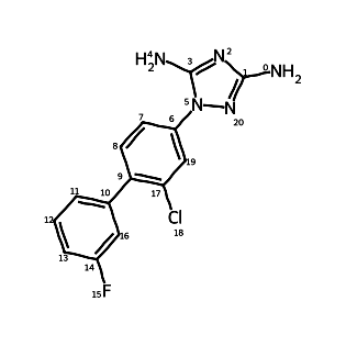 Nc1nc(N)n(-c2ccc(-c3cccc(F)c3)c(Cl)c2)n1